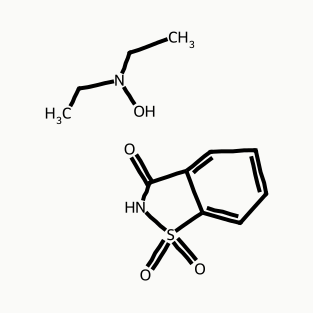 CCN(O)CC.O=C1NS(=O)(=O)c2ccccc21